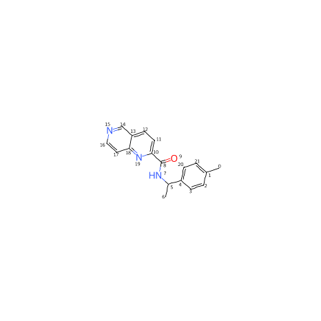 Cc1ccc(C(C)NC(=O)c2ccc3cnccc3n2)cc1